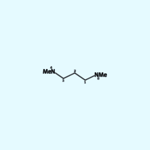 [CH2-][NH2+]CCCNC